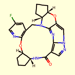 O=C1N[C@@H]2CCC[C@@H]2Oc2ncc(F)cc2CN2c3nc4c1cnn4cc3O[C@H]1CCC[C@H]12